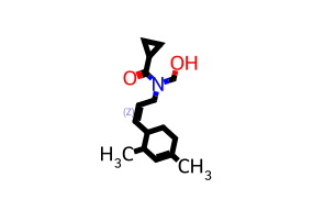 CC1=CC(C)C(/C=C\CN(CO)C(=O)C2CC2)CC1